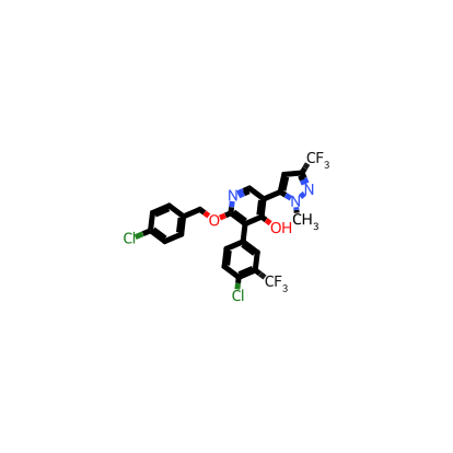 Cn1nc(C(F)(F)F)cc1-c1cnc(OCc2ccc(Cl)cc2)c(-c2ccc(Cl)c(C(F)(F)F)c2)c1O